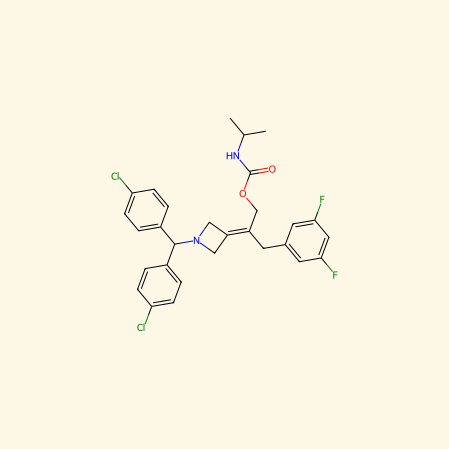 CC(C)NC(=O)OCC(Cc1cc(F)cc(F)c1)=C1CN(C(c2ccc(Cl)cc2)c2ccc(Cl)cc2)C1